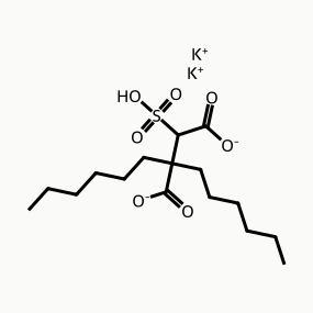 CCCCCCC(CCCCCC)(C(=O)[O-])C(C(=O)[O-])S(=O)(=O)O.[K+].[K+]